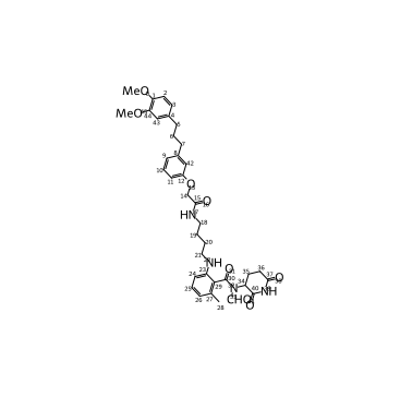 COc1ccc(CCCc2cccc(OCC(=O)NCCCCNc3cccc(C)c3C(=O)N(C=O)C3CCC(=O)NC3=O)c2)cc1OC